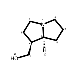 OC[C@H]1CCN2CCC[C@@H]12